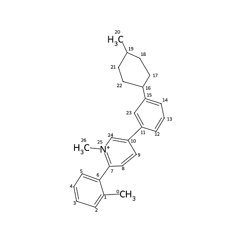 Cc1ccccc1-c1ccc(-c2cccc(C3CCC(C)CC3)c2)c[n+]1C